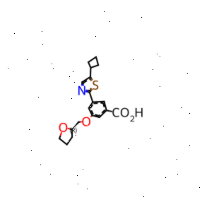 O=C(O)c1cc(OC[C@H]2CCCO2)cc(-c2ncc(C3CCC3)s2)c1